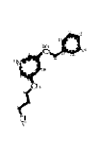 ClCCCOc1cncc(OCc2ccccc2)c1